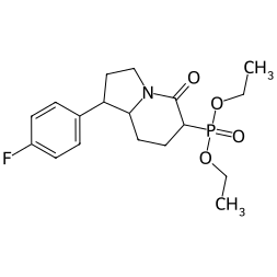 CCOP(=O)(OCC)C1CCC2C(c3ccc(F)cc3)CCN2C1=O